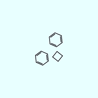 C1CCC1.c1ccccc1.c1ccccc1